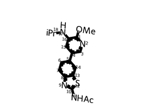 COc1ncc(-c2ccc3nc(NC(C)=O)sc3c2)cc1NC(C)C